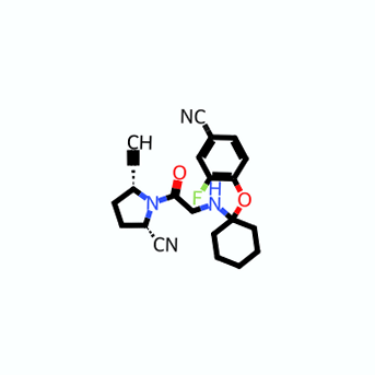 C#C[C@H]1CC[C@@H](C#N)N1C(=O)CNC1(Oc2ccc(C#N)cc2F)CCCCC1